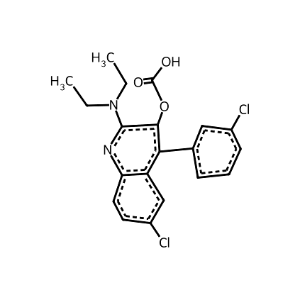 CCN(CC)c1nc2ccc(Cl)cc2c(-c2cccc(Cl)c2)c1OC(=O)O